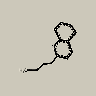 CCC[CH]c1ccc2ccccc2n1